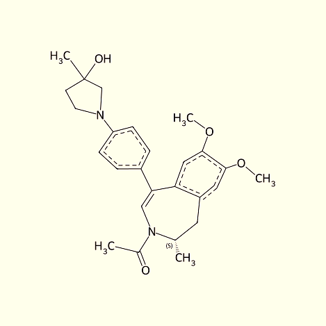 COc1cc2c(cc1OC)C(c1ccc(N3CCC(C)(O)C3)cc1)=CN(C(C)=O)[C@@H](C)C2